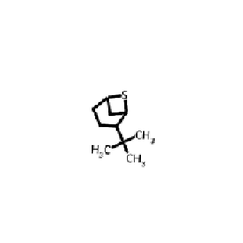 CC(C)(C)C1CCC2CC1S2